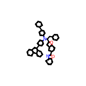 c1ccc(CC(c2cc3cc(-c4nc5ccccc5o4)ccc3o2)N(c2ccc(-c3ccccc3)cc2)c2ccc(-c3cc4ccccc4c4ccccc34)cc2)cc1